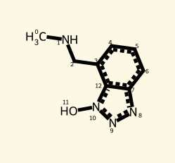 CNCc1cccc2nnn(O)c12